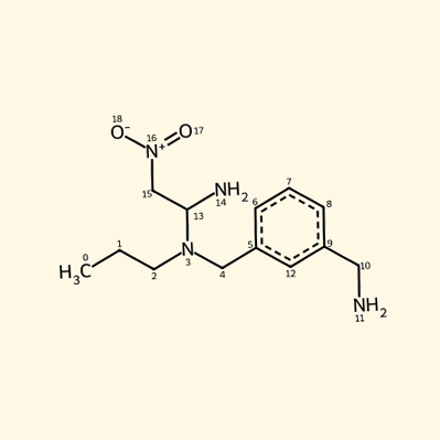 CCCN(Cc1cccc(CN)c1)C(N)C[N+](=O)[O-]